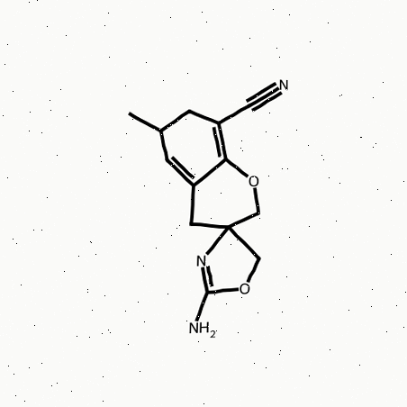 CC1C=C2CC3(COC(N)=N3)COC2=C(C#N)C1